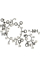 CC[C@H]1OC(=O)CC(=O)[C@H](C)[C@@H](O[C@@H]2O[C@H](CN)CC(N(C)C)[C@H]2O)[C@](C)(OC)C[C@@H](C)CN[C@H](C)[C@H]2NC(=O)O[C@@]21C